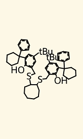 CC(C)(C)c1cc(CSC2CCCCCCC2SCc2cc(C(C)(C)C)cc(C3(c4ccccc4)CCCCC3)c2O)c(O)c(C2(c3ccccc3)CCCCC2)c1